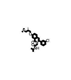 CC(C)NC(=O)Cn1c(-c2cccc(Cl)c2)cc2ccc(OC[C@@H](C)CN(C)C)cc2c1=O